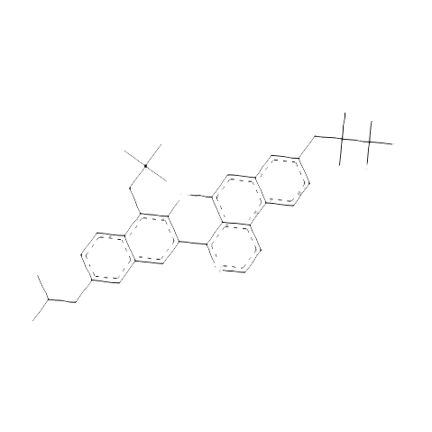 CC(C)Cc1ccc2c(CC(C)(C)C)c3c(cc2c1)-c1nccc2c1c(cc1cc(CC(C)(C)C(F)(F)F)ccc12)O3